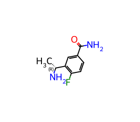 C[C@@H](N)c1cc(C(N)=O)ccc1F